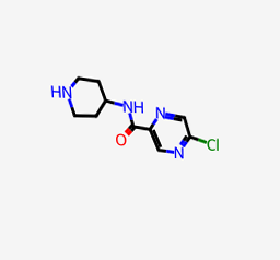 O=C(NC1CCNCC1)c1cnc(Cl)cn1